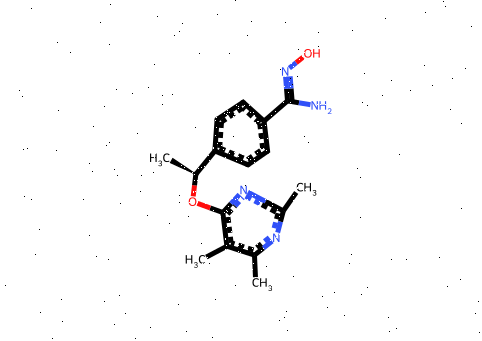 Cc1nc(C)c(C)c(O[C@@H](C)c2ccc(/C(N)=N/O)cc2)n1